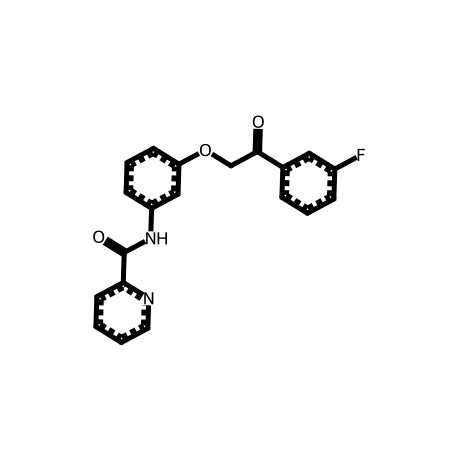 O=C(COc1cccc(NC(=O)c2ccccn2)c1)c1cccc(F)c1